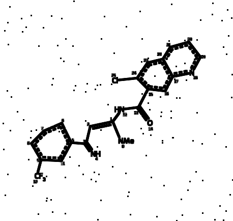 CN/C(=C\C(=N)c1cccc(C(F)(F)F)c1)NC(=O)c1cc2ncccc2cc1Cl